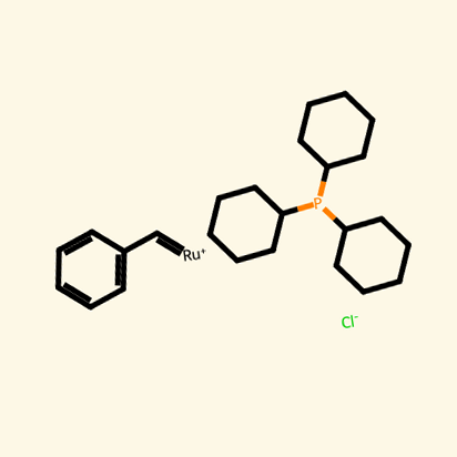 C1CCC(P(C2CCCCC2)C2CCCCC2)CC1.[Cl-].[Ru+]=[CH]c1ccccc1